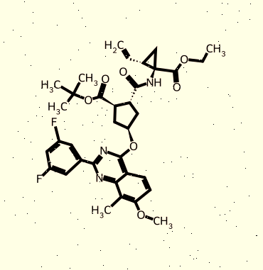 C=C[C@@H]1C[C@]1(NC(=O)[C@@H]1C[C@@H](Oc2nc(-c3cc(F)cc(F)c3)nc3c(C)c(OC)ccc23)C[C@H]1C(=O)OC(C)(C)C)C(=O)OCC